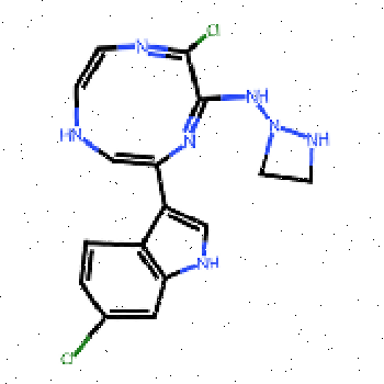 Clc1ccc2c(-c3c[nH]ccnc(Cl)c(NN4CCN4)n3)c[nH]c2c1